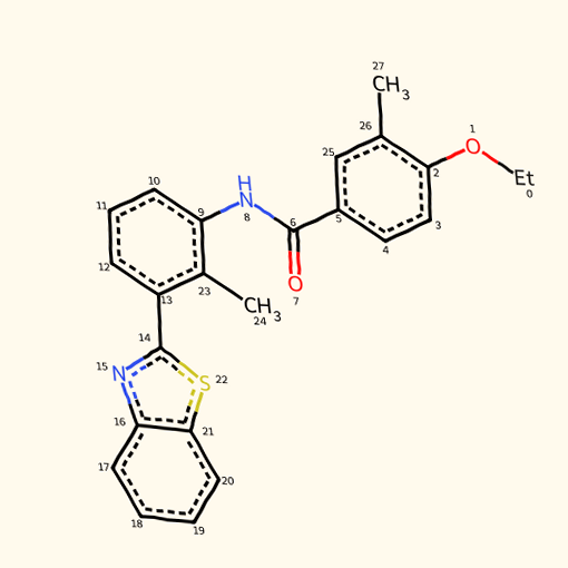 CCOc1ccc(C(=O)Nc2cccc(-c3nc4ccccc4s3)c2C)cc1C